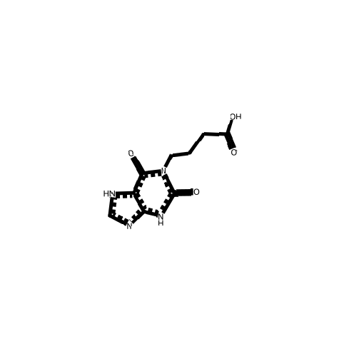 O=C(O)CCCn1c(=O)[nH]c2nc[nH]c2c1=O